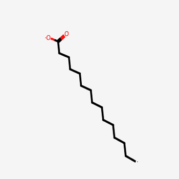 [CH2]CCCCCCCCCCCCCC([O])=O